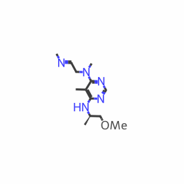 C/N=C/CN(C)c1ncnc(N[C@H](C)COC)c1C